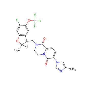 Cc1cn(-c2ccc3n(c2=O)CCN(CC24CC2(C)Oc2cc(F)c(OC(F)(F)F)cc24)C3=O)cn1